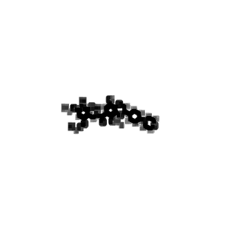 COc1cc(C)[nH]c(=O)c1CNC(=O)c1cc(Cl)c2c(c1C)OC(C1CCC(N3CCOCC3)CC1)CO2